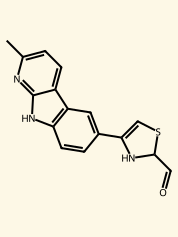 Cc1ccc2c(n1)[nH]c1ccc(C3=CSC(C=O)N3)cc12